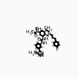 CCCN(CCCc1ccc(F)cc1)C[C@@H]1CC[C@@H](N(C)C(C)=O)C[C@H]1NC(=O)Nc1cccc(-c2nnnn2C)c1